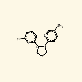 Nc1ccc(N2CCC[C@H]2c2cccc(F)c2)nc1